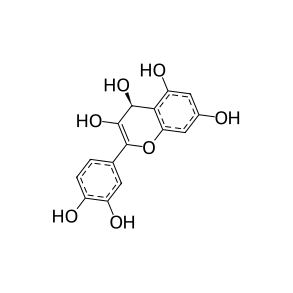 OC1=C(c2ccc(O)c(O)c2)Oc2cc(O)cc(O)c2[C@@H]1O